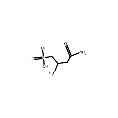 CC(CC(N)=O)CP(=O)(O)O